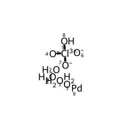 O.O.O.O.[O-][Cl+3]([O-])([O-])O.[Pd]